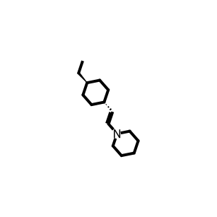 CC[C@H]1CC[C@H](C=CN2CCCCC2)CC1